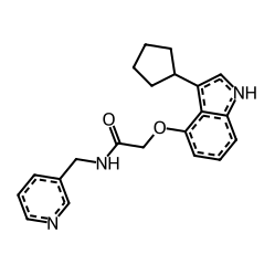 O=C(COc1cccc2[nH]cc(C3CCCC3)c12)NCc1cccnc1